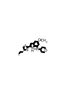 COc1cc(NC2CCOCC2)c2[nH]c(C3=N[C@H](CCI)CS3)cc2c1